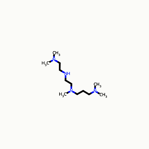 CN(C)CCCN(C)CCNCCN(C)C